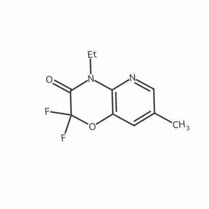 CCN1C(=O)C(F)(F)Oc2cc(C)cnc21